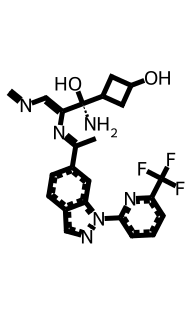 C=N/C=C(\N=C(/C)c1ccc2cnn(-c3cccc(C(F)(F)F)n3)c2c1)[C@@](N)(O)C1CC(O)C1